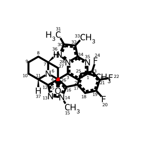 Cc1cc(C(=O)N2[C@@H]3CCC[C@H]2c2nn(C)c(-c4cc(F)c(F)c(F)c4)c2C3)n2nc(C)c(C)c2n1